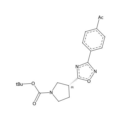 CC(=O)c1ccc(-c2noc([C@@H]3CCN(C(=O)OC(C)(C)C)C3)n2)cc1